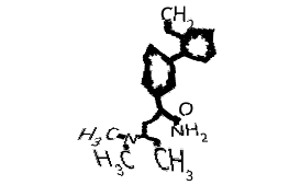 C=Cc1ccccc1-c1cccc(C(CC(CC)N(C)C)C(N)=O)c1